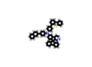 c1cncc(C2(c3ccc(N(c4ccc(-c5ccc6ccccc6c5)cc4)c4ccc(-c5cccc6c5sc5ccccc56)cc4)cc3)c3ccccc3-c3ccccc32)c1